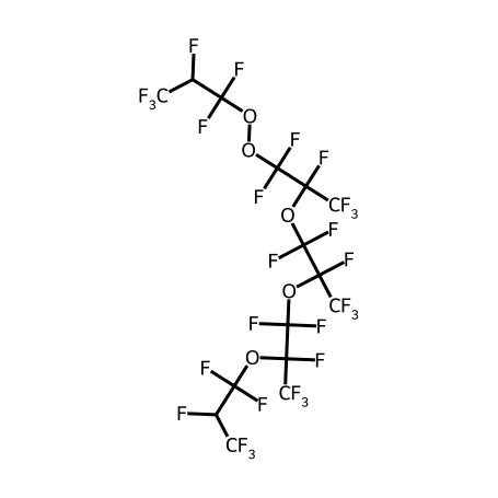 FC(C(F)(F)F)C(F)(F)OOC(F)(F)C(F)(OC(F)(F)C(F)(OC(F)(F)C(F)(OC(F)(F)C(F)C(F)(F)F)C(F)(F)F)C(F)(F)F)C(F)(F)F